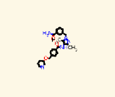 Cc1nn(Cc2cccc(C(N)=O)c2)c(C)c1NC(=O)c1ccc(COc2cccnc2)cc1